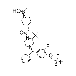 CB(O)N1CCC(CC(=O)N2CCN(C(c3ccccc3)c3ccc(OCC(F)(F)F)c(F)c3)C[C@@H]2C(C)(C)C)CC1